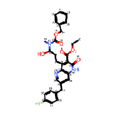 CCOC(=O)c1c(CCC(O)N(C)C(=O)OCc2ccccc2)c2ncc(Cc3ccc(F)cc3)cc2[nH]c1=O